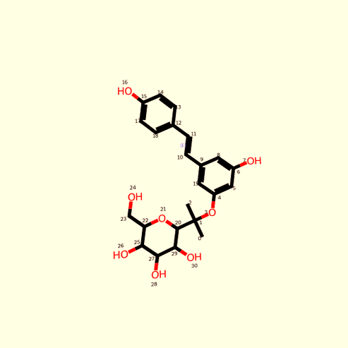 CC(C)(Oc1cc(O)cc(/C=C/c2ccc(O)cc2)c1)C1OC(CO)C(O)C(O)C1O